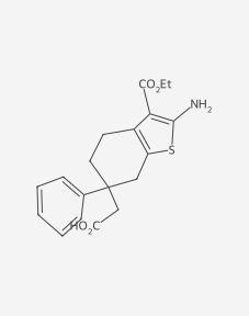 CCOC(=O)c1c(N)sc2c1CCC(CC(=O)O)(c1ccccc1)C2